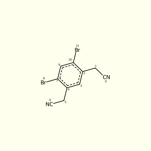 N#CCc1cc(CC#N)c(Br)cc1Br